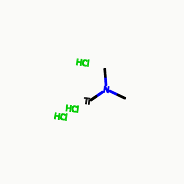 C[N](C)[Ti].Cl.Cl.Cl